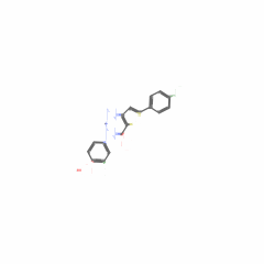 COc1ccc(-n2cnc3cc(-c4ccc(Cl)cc4)sc3c2=O)cc1Cl